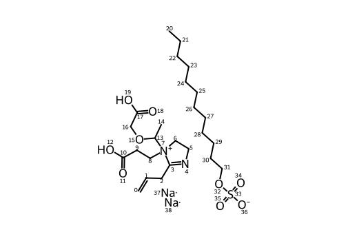 C=CCC1=NCC[N+]1(CCC(=O)O)C(C)OCC(=O)O.CCCCCCCCCCCCOS(=O)(=O)[O-].[Na].[Na]